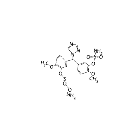 COc1ccc(C(c2ccc(OC)c(OS(N)(=O)=O)c2)n2cncn2)cc1OSOON